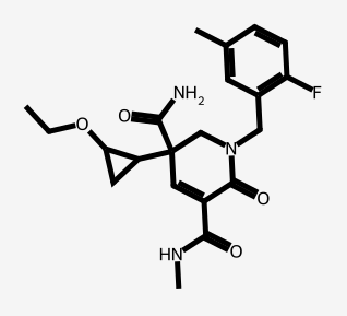 CCOC1CC1C1(C(N)=O)C=C(C(=O)NC)C(=O)N(Cc2cc(C)ccc2F)C1